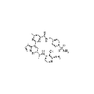 Cc1cc(C(=O)NCc2ccc(S(N)(=O)=O)cc2)nc(-c2nc(C(C)Nc3ncnc(N)c3C#N)nn3ccc(C)c23)n1